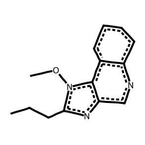 CCCc1nc2cnc3ccccc3c2n1OC